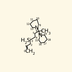 C=CC[SiH2]CCC(C)(N1CCCCC1)N1CCCCC1